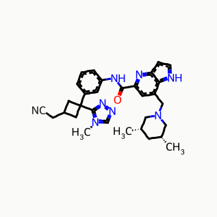 C[C@@H]1C[C@H](C)CN(Cc2cc(C(=O)Nc3cccc(C4(c5nncn5C)CC(CC#N)C4)c3)nc3cc[nH]c23)C1